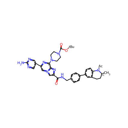 CC(=O)N1c2ccc(-c3ccc(CNC(=O)c4cn5cc(-c6cnc(N)nc6)nc(N6CCN(C(=O)OC(C)(C)C)CC6)c5n4)cc3)cc2CC[C@@H]1C